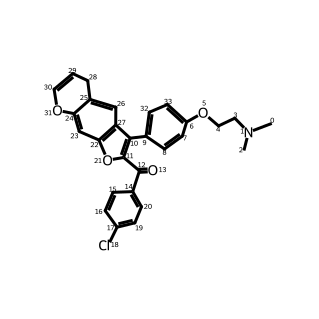 CN(C)CCOc1ccc(-c2c(C(=O)c3ccc(Cl)cc3)oc3cc4c(cc23)CC=CO4)cc1